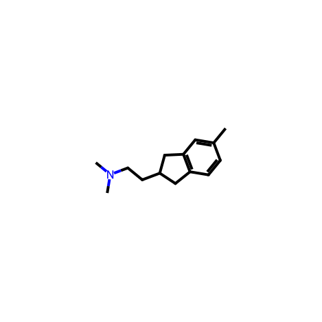 Cc1ccc2c(c1)CC(CCN(C)C)C2